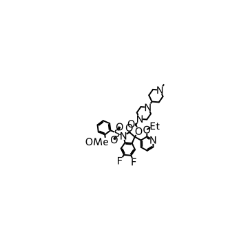 CCOc1ncccc1C1(OC(=O)N2CCN(C3CCN(C)CC3)CC2)C(=O)N(S(=O)(=O)c2ccccc2OC)c2cc(F)c(F)cc21